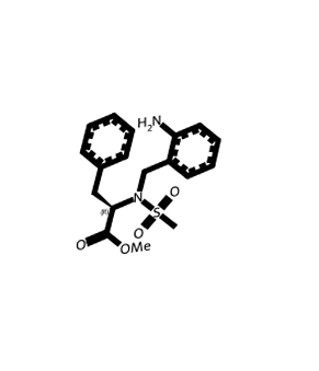 COC(=O)[C@@H](Cc1ccccc1)N(Cc1ccccc1N)S(C)(=O)=O